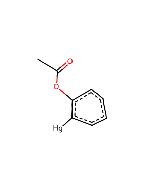 CC(=O)Oc1cccc[c]1[Hg]